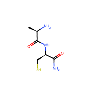 C[C@@H](N)C(=O)N[C@H](CS)C(N)=O